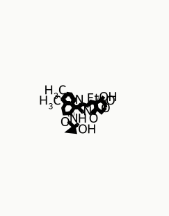 CC[C@@]1(O)C(=O)OCc2c1cc1n(c2=O)Cc2c-1nc1cc(C)c(C)c3c1c2[C@@H](NC(=O)C1(CO)CC1)CC3